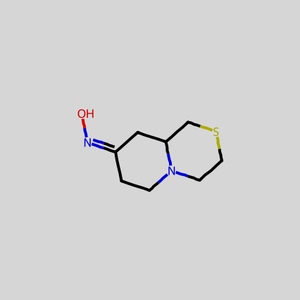 ON=C1CCN2CCSCC2C1